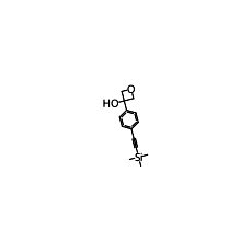 C[Si](C)(C)C#Cc1ccc(C2(O)COC2)cc1